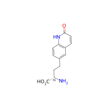 N[C@@H](CCc1ccc2[nH]c(=O)ccc2c1)C(=O)O